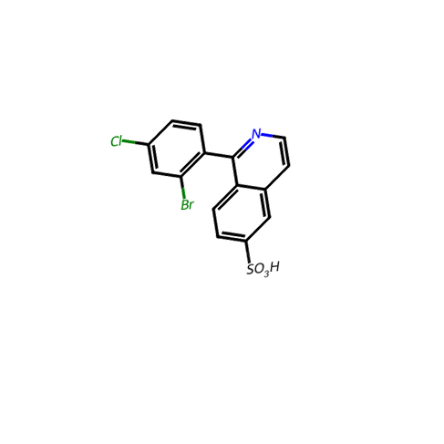 O=S(=O)(O)c1ccc2c(-c3ccc(Cl)cc3Br)nccc2c1